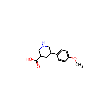 COc1ccc(C2CNCC(C(=O)O)C2)cc1